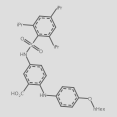 CCCCCCOc1ccc(Nc2ccc(NS(=O)(=O)c3c(C(C)C)cc(C(C)C)cc3C(C)C)cc2C(=O)O)cc1